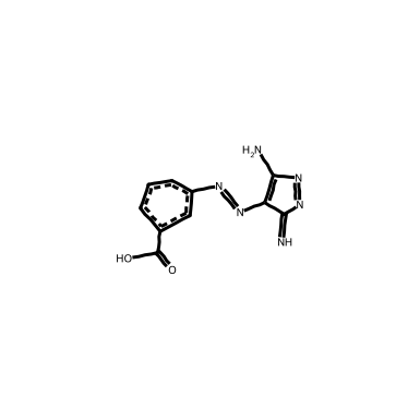 N=C1N=NC(N)=C1N=Nc1cccc(C(=O)O)c1